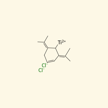 CC(C)=C1C=CCC(=C(C)C)[CH]1[Ti+2].[Cl-].[Cl-]